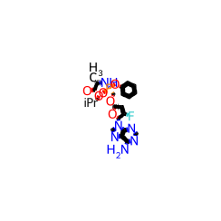 CC(C)OC(=O)[C@H](C)NP(=O)(CO[C@@H]1C=C(F)C(n2cnc3c(N)ncnc32)O1)Oc1ccccc1